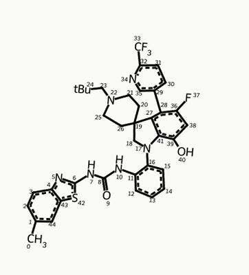 Cc1ccc2nc(NC(=O)Nc3ccccc3N3CC4(CCN(CC(C)(C)C)CC4)c4c(-c5ccc(C(F)(F)F)nc5)c(F)cc(O)c43)sc2c1